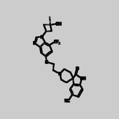 CC1(O)CC(n2cnc3cc(OCCN4CCC5(CC4)C(=O)Nc4ccc(C#N)cc45)cc(C(F)(F)F)c32)C1